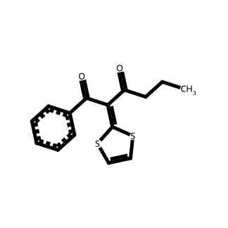 CCCC(=O)C(C(=O)c1ccccc1)=C1SC=CS1